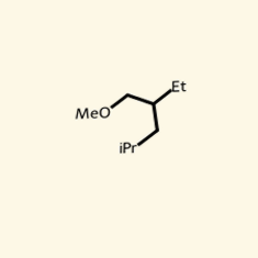 CCC(COC)CC(C)C